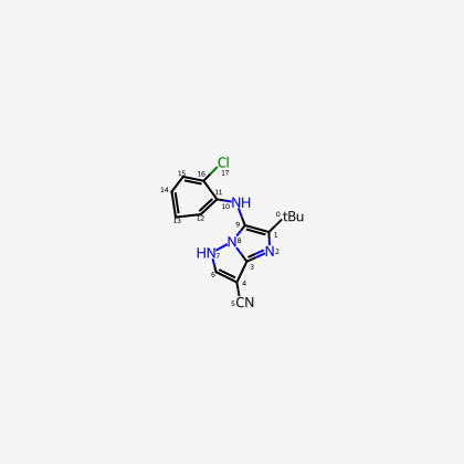 CC(C)(C)c1nc2c(C#N)c[nH]n2c1Nc1ccccc1Cl